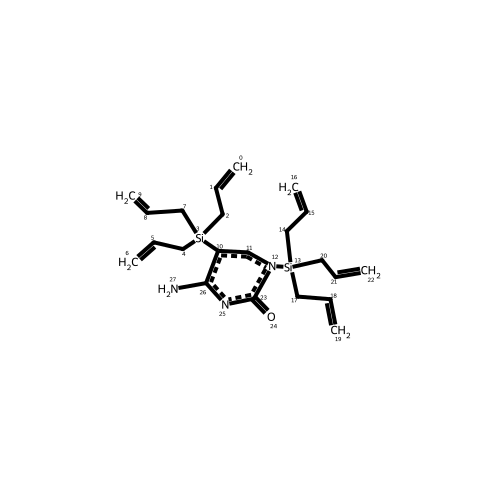 C=CC[Si](CC=C)(CC=C)c1cn([Si](CC=C)(CC=C)CC=C)c(=O)nc1N